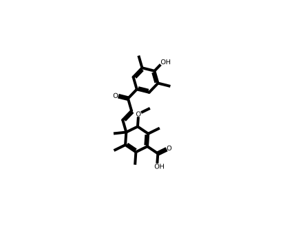 COC1C(C)=C(C(=O)O)C(C)=C(C)C1(C)C=CC(=O)c1cc(C)c(O)c(C)c1